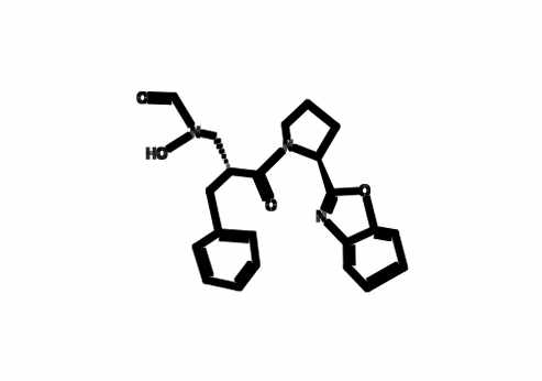 O=CN(O)C[C@@H](Cc1ccccc1)C(=O)N1CCC[C@H]1c1nc2ccccc2o1